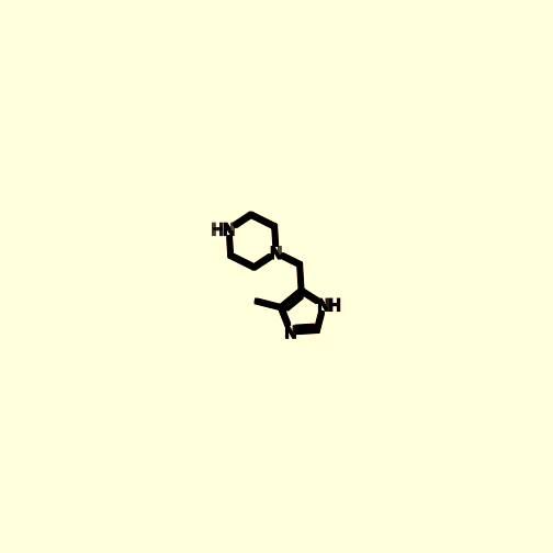 Cc1nc[nH]c1CN1CCNCC1